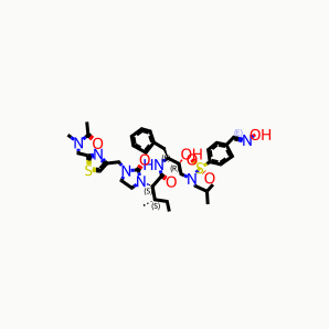 CC[C@H](C)[C@@H](C(=O)N[C@@H](Cc1ccccc1)[C@H](O)CN(CC(C)C)S(=O)(=O)c1ccc(/C=N/O)cc1)N1CCN(Cc2csc(CN(C)C(C)=O)n2)C1=O